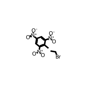 CCBr.Cc1c([N+](=O)[O-])cc([N+](=O)[O-])cc1[N+](=O)[O-]